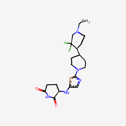 BCN1CCC(C2CCN(c3ncc(NC4CCC(=O)NC4=O)s3)CC2)C(F)(F)C1